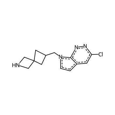 Clc1cc2ccn(CC3CC4(CNC4)C3)c2nn1